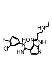 CCNCCc1nc2c(C(=N)N(O)c3ccc(F)c(Cl)c3)ccnc2[nH]1